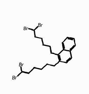 BrC(Br)CCCCCc1ccc2ccccc2c1CCCCCC(Br)Br